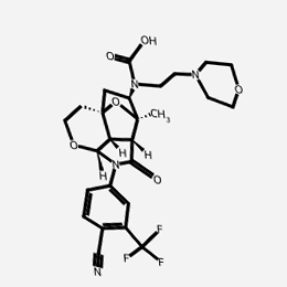 C[C@@]12O[C@]3(CCO[C@@H]4[C@H]3[C@H]1C(=O)N4c1ccc(C#N)c(C(F)(F)F)c1)C[C@H]2N(CCN1CCOCC1)C(=O)O